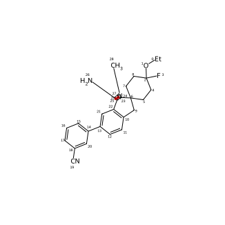 CCOC1(F)CCC2(CC1)Cc1ccc(-c3cccc(C#N)c3)cc1C21N=C(N)N(C)O1